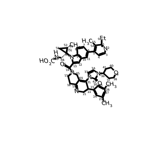 CCc1nccc(-c2ccc3c(c2)cc(C(=O)N2CCC4=NCC(c5cc(C)cc(C)c5)C(n5ccn(C6CCOCC6)c5=O)=C4C2)n3[C@@]2(CNC(=O)O)C[C@@H]2C)c1C